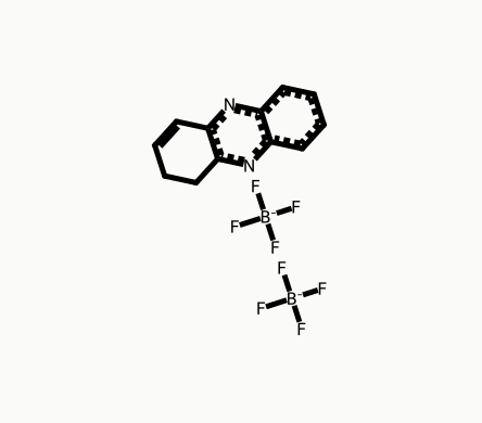 C1=Cc2nc3ccccc3nc2CC1.F[B-](F)(F)F.F[B-](F)(F)F